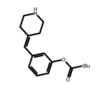 CC(C)(C)C(=O)Oc1cccc(C=C2CCNCC2)c1